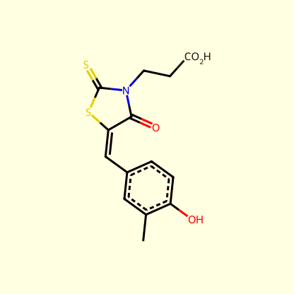 Cc1cc(/C=C2/SC(=S)N(CCC(=O)O)C2=O)ccc1O